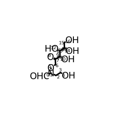 O=CN(CCO)OCC(=O)[C@H](O)[C@@H](O)[C@H](O)CO